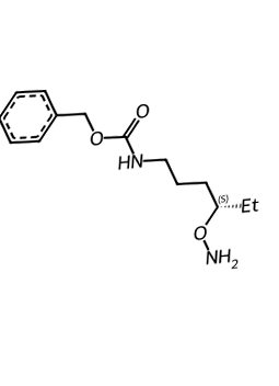 CC[C@@H](CCCNC(=O)OCc1ccccc1)ON